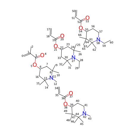 C=C(C)C(=O)OC1CC(C)(C)N(C)C(C)(C)C1.C=CC(=O)OC1CC(C)(C)N(CC)C(C)(C)C1.C=CC(=O)OC1CCN(C)C(C)(C)C1(C)C.C=CC(=O)OC1CCN(CC)C(C)(C)C1(C)C